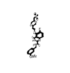 COc1cccc(CNC(=O)c2nc3ccc(F)c(OCCC4COC(CS(C)(=O)=O)CO4)c3c(=O)[nH]2)c1